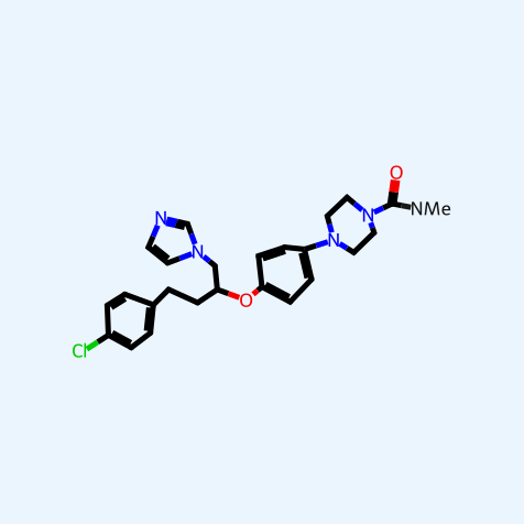 CNC(=O)N1CCN(c2ccc(OC(CCc3ccc(Cl)cc3)Cn3ccnc3)cc2)CC1